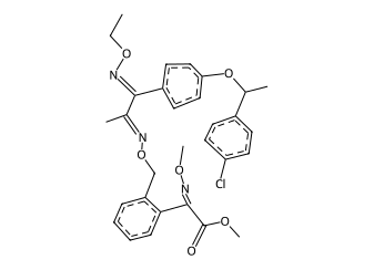 CCO/N=C(/C(C)=N/OCc1ccccc1/C(=N\OC)C(=O)OC)c1ccc(OC(C)c2ccc(Cl)cc2)cc1